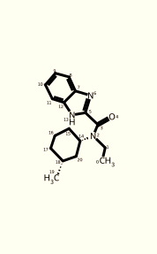 CCN(C(=O)c1nc2ccccc2[nH]1)[C@H]1CCC[C@@H](C)C1